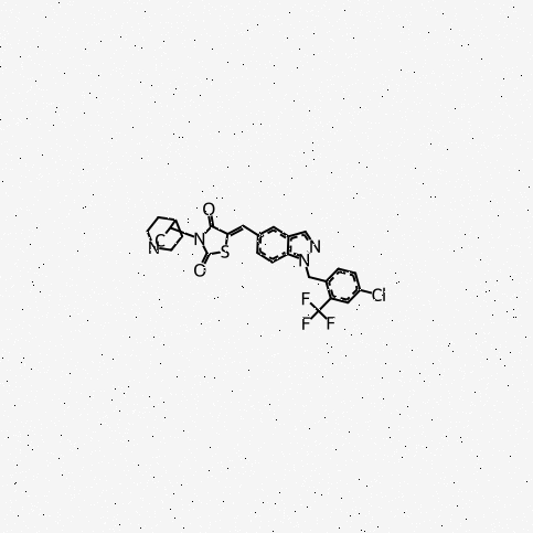 O=C1S/C(=C\c2ccc3c(cnn3Cc3ccc(Cl)cc3C(F)(F)F)c2)C(=O)N1C1CN2CCC1CC2